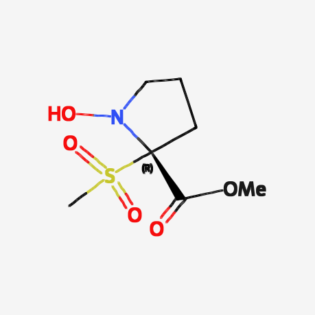 COC(=O)[C@]1(S(C)(=O)=O)CCCN1O